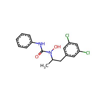 CC(Cc1cc(Cl)cc(Cl)c1)N(O)C(=O)Nc1ccccc1